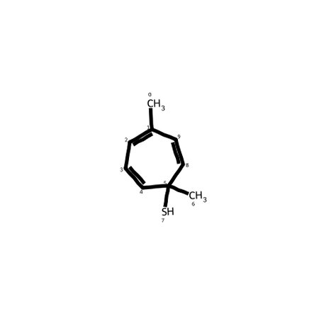 CC1=CC=CC(C)(S)C=C1